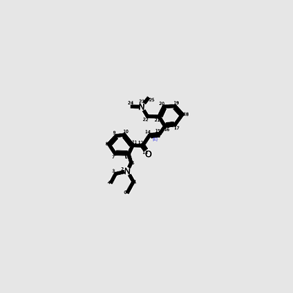 CCN(CC)Cc1ccccc1C(=O)/C=C/c1ccccc1CN(C)C